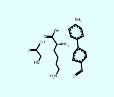 N.NCCCC[C@H](N)C(=O)O.O=C(O)CO.O=Cc1ccc(-c2ccccc2)cc1